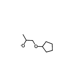 CC([O])COC1CCCC1